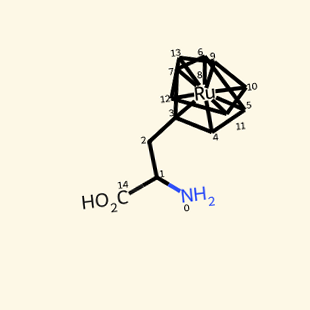 NC(C[C]12[CH]3[CH]4[CH]5[CH]1[Ru]45321678[CH]2[CH]1[CH]6[CH]7[CH]28)C(=O)O